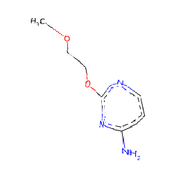 COCCOc1nccc(N)n1